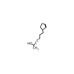 CC(O)CCCCCC1C=CCC1